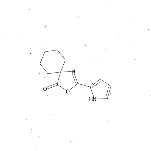 O=C1OC(c2ccc[nH]2)=NC12CCCCC2